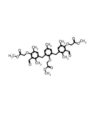 COC(=O)COc1c(Cc2cc(C)c(OCC(=O)OC)c(C=O)c2C)cc(C)cc1Cc1cc(C)c(OCC(=O)OC)c(C=O)c1C